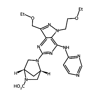 CCOCCn1nc(COCC)c2nc(N3C[C@@H]4C[C@H]3CN4C(=O)O)nc(Nc3ccncn3)c21